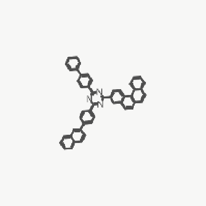 c1ccc(-c2ccc(-c3nc(-c4ccc(-c5ccc6ccccc6c5)cc4)nc(-c4ccc5c(ccc6ccc7ccccc7c65)c4)n3)cc2)cc1